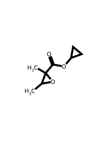 CC1OC1(C)C(=O)OC1CC1